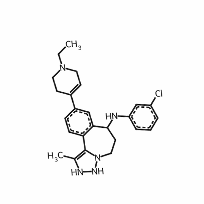 CCN1CC=C(c2ccc3c(c2)C(Nc2cccc(Cl)c2)CCN2NNC(C)=C32)CC1